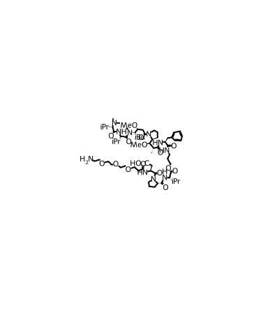 CC[C@H](C)[C@@H]([C@@H](CC(=O)N1CCC[C@H]1[C@H](OC)[C@@H](C)C(=O)N[C@@H](Cc1ccccc1)C(=O)NCCCOC(=O)[C@@H](NC(=O)[C@@H]1CCCN1C(=O)[C@H](CC(=O)O)NC(=O)CCOCCOCCOCCN)C(C)C)OC)N(C)C(=O)[C@@H](NC(=O)[C@H](C(C)C)N(C)C)C(C)C